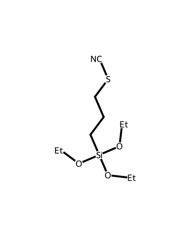 CCO[Si](CCCSC#N)(OCC)OCC